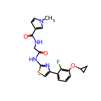 Cn1ccc(C(=O)NCC(=O)Nc2nc(-c3cccc(OC4CC4)c3F)cs2)c1